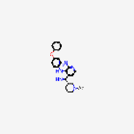 CC(=O)N1CCC[C@@H](C(=N)c2ccnc(N)c2Nc2ccc(Oc3ccccc3)cc2)C1